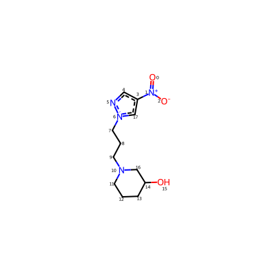 O=[N+]([O-])c1cnn(CCCN2CCCC(O)C2)c1